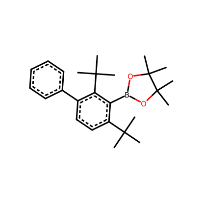 CC(C)(C)c1ccc(-c2ccccc2)c(C(C)(C)C)c1B1OC(C)(C)C(C)(C)O1